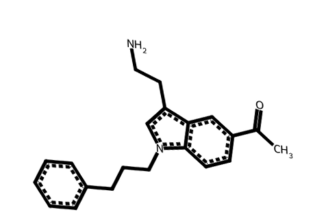 CC(=O)c1ccc2c(c1)c(CCN)cn2CCCc1ccccc1